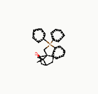 CC1(C)C2CCC1(CS(c1ccccc1)(c1ccccc1)c1ccccc1)C(=O)C2